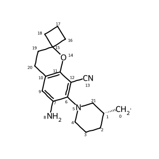 [CH2][C@@H]1CCCN(c2c(N)cc3c(c2C#N)OC2(CCC2)CC3)C1